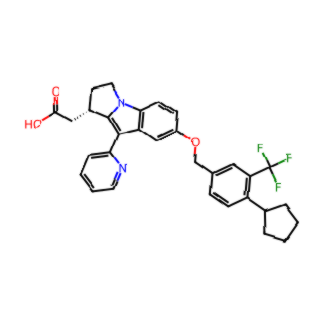 O=C(O)C[C@@H]1CCn2c1c(-c1ccccn1)c1cc(OCc3ccc(C4CCCC4)c(C(F)(F)F)c3)ccc12